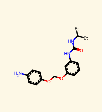 CCC(CC)NC(=O)Nc1cccc(OCOc2ccc(N)cc2)c1